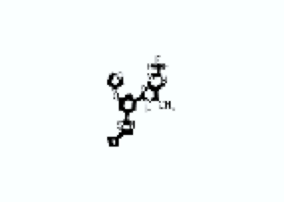 C[C@@H](NC(=O)c1cc(O[C@@H]2CCOC2)cc(-c2ncc(C3CCC3)s2)c1)c1cnc(C(F)(F)F)nc1